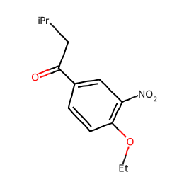 CCOc1ccc(C(=O)CC(C)C)cc1[N+](=O)[O-]